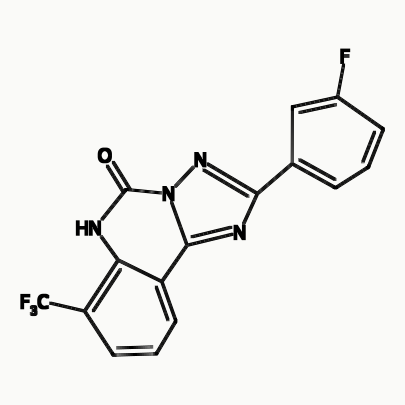 O=c1[nH]c2c(C(F)(F)F)cccc2c2nc(-c3cccc(F)c3)nn12